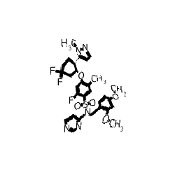 COc1ccc(CN(c2ccncn2)S(=O)(=O)c2cc(C)c(O[C@H]3CC(F)(F)CC[C@@H]3c3ccnn3C)cc2F)c(OC)c1